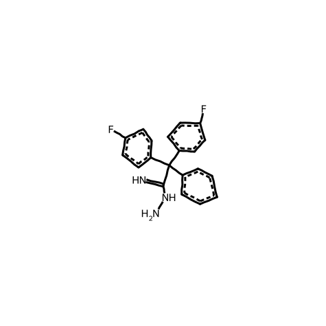 N=C(NN)C(c1ccccc1)(c1ccc(F)cc1)c1ccc(F)cc1